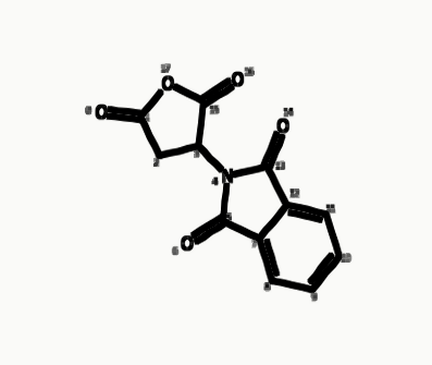 O=C1CC(N2C(=O)c3ccccc3C2=O)C(=O)O1